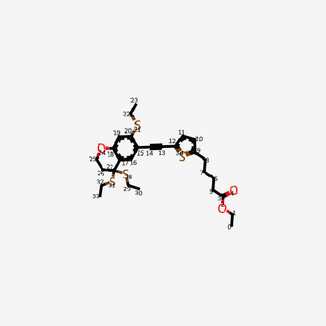 CCOC(=O)CCCCc1ccc(C#Cc2cc3c(cc2SCC)OCCC3(SCC)SCC)s1